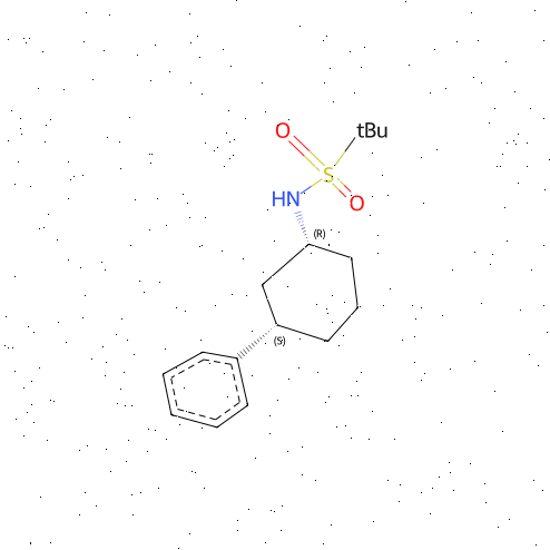 CC(C)(C)S(=O)(=O)N[C@@H]1CCC[C@H](c2ccccc2)C1